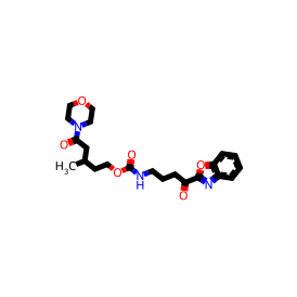 CC(CCOC(=O)NCCCC(=O)c1nc2ccccc2o1)CC(=O)N1CCOCC1